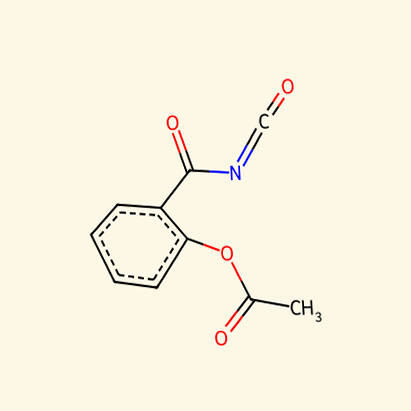 CC(=O)Oc1ccccc1C(=O)N=C=O